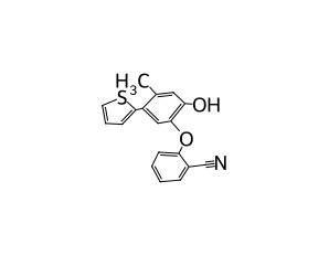 Cc1cc(O)c(Oc2ccccc2C#N)cc1-c1cccs1